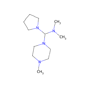 CN1CCN(C(N(C)C)N2CCCC2)CC1